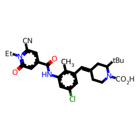 CCn1c(C#N)cc(C(=O)Nc2cc(Cl)cc(C=C3CCN(C(=O)O)C(C(C)(C)C)C3)c2C)cc1=O